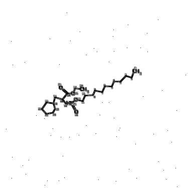 CCCCCCCCCCCCO[PH](=O)CC(CC1CCCCC1)C(=O)OCC